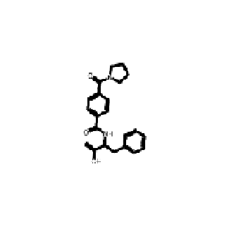 C=C(O)C(Cc1ccccc1)NC(=O)c1ccc(C(=O)N2CCCC2)cc1